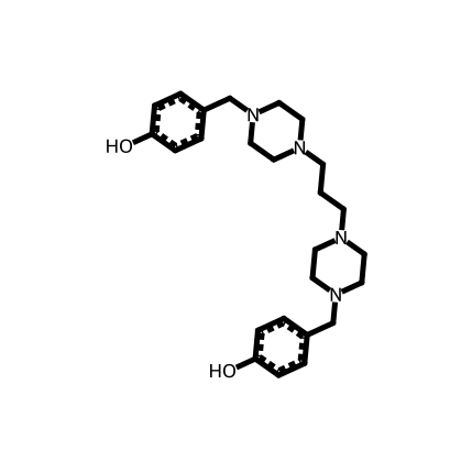 Oc1ccc(CN2CCN(CCCN3CCN(Cc4ccc(O)cc4)CC3)CC2)cc1